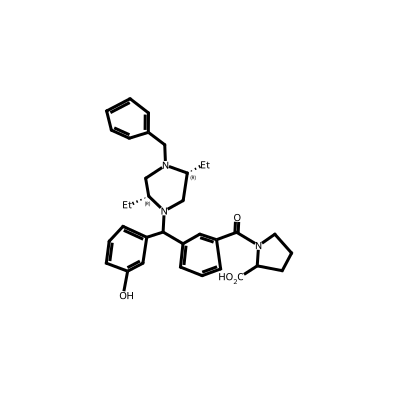 CC[C@@H]1CN(C(c2cccc(O)c2)c2cccc(C(=O)N3CCCC3C(=O)O)c2)[C@H](CC)CN1Cc1ccccc1